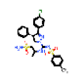 CC(CS(N)(=O)=O)N/C(=N\S(=O)(=O)c1ccc(C(F)(F)F)cc1)N1C[C@@H](c2ccccc2)C(c2ccc(Cl)cc2)=N1